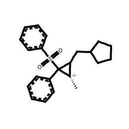 C[C@H]1C(CC2CCCC2)C1(c1ccccc1)S(=O)(=O)c1ccccc1